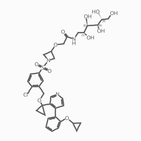 O=C(COC1CN(S(=O)(=O)c2ccc(Cl)c(COC3(c4cnccc4-c4ccccc4OC4CC4)CC3)c2)C1)NC[C@H](O)[C@@H](O)[C@H](O)[C@H](O)CO